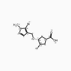 Cn1ncc(CO[C@@H]2CN(C(=O)O)C[C@H]2F)c1Br